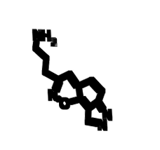 NCCCc1cc2ccc3nncc3c2on1